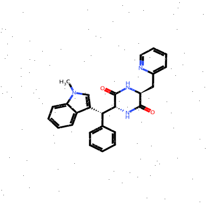 Cn1cc([C@@H](c2ccccc2)[C@H]2NC(=O)[C@H](Cc3ccccn3)NC2=O)c2ccccc21